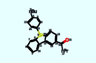 CCCCc1ccc(-[s+]2c3ccccc3c3cc(C(=O)CCC)ccc32)cc1